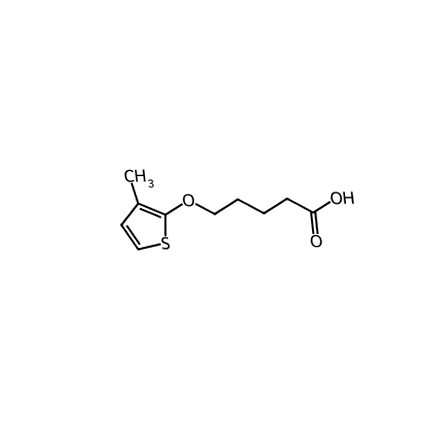 Cc1ccsc1OCCCCC(=O)O